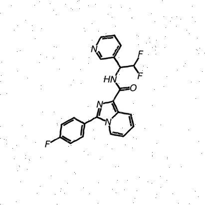 O=C(NC(c1cccnc1)C(F)F)c1nc(-c2ccc(F)cc2)n2ccccc12